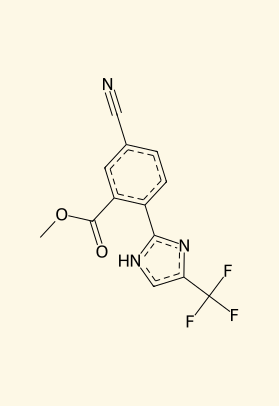 COC(=O)c1cc(C#N)ccc1-c1nc(C(F)(F)F)c[nH]1